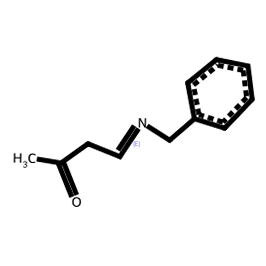 CC(=O)C/C=N/Cc1ccccc1